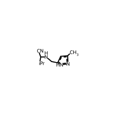 Cc1cc(CNC(C#N)C(C)C)[nH]n1